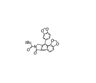 CC(C)(C)C(=O)N1Cc2c(cc3ccc4c(c3c2-c2ccc3c(c2)OCO3)OCO4)C1=O